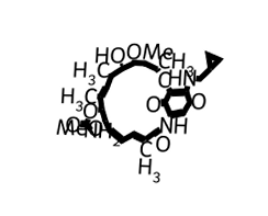 COC1/C=C\C=C(/C)C(=O)NC2=CC(=O)C(NCC3CC3)=C(CC(C)CC(OC)[C@H](O)[C@@H](C)/C=C(\C)C1OC(N)=O)C2=O